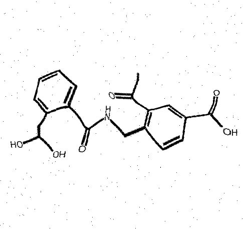 CC(=O)c1cc(C(=O)O)ccc1CNC(=O)c1ccccc1C(O)O